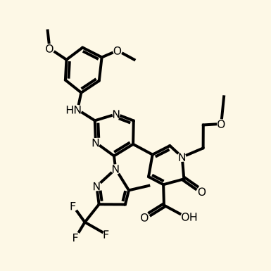 COCCn1cc(-c2cnc(Nc3cc(OC)cc(OC)c3)nc2-n2nc(C(F)(F)F)cc2C)cc(C(=O)O)c1=O